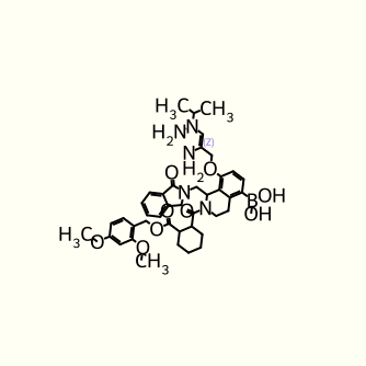 COc1ccc(COC(=O)C2CCCCC2C(=O)N2CCc3c(B(O)O)ccc(OC/C(N)=C/N(N)C(C)C)c3C2CN2Cc3ccccc3C2=O)c(OC)c1